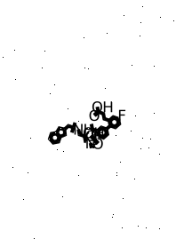 CCc1cc(-c2ccc(F)cc2CCC(=O)O)ccc1S(=O)(=O)N(C)C[C@H](O)CNC(C)(C)CC1Cc2ccccc2C1